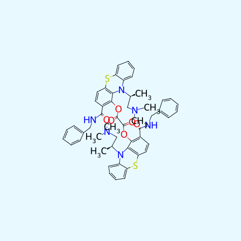 C[C@@H](CN(C)C)N1c2ccccc2Sc2ccc(C(=O)NCc3ccccc3)c(OC(=O)C(=O)Oc3c(C(=O)NCc4ccccc4)ccc4c3N([C@@H](C)CN(C)C)c3ccccc3S4)c21